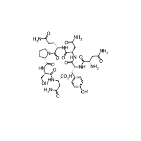 NC(=O)CC[C@H](NC(=O)[C@@H](CC(N)=O)NC(=O)[C@@H](Cc1ccc(O)cc1)NC(=O)[C@@H](N)CC(N)=O)C(=O)N1CCC[C@H]1C(=O)N[C@H](CO)C(=O)N[C@@H](CC(N)=O)C(=O)O